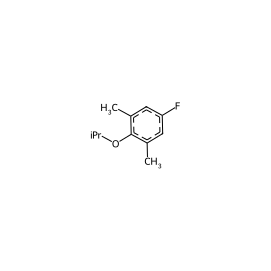 Cc1cc(F)cc(C)c1OC(C)C